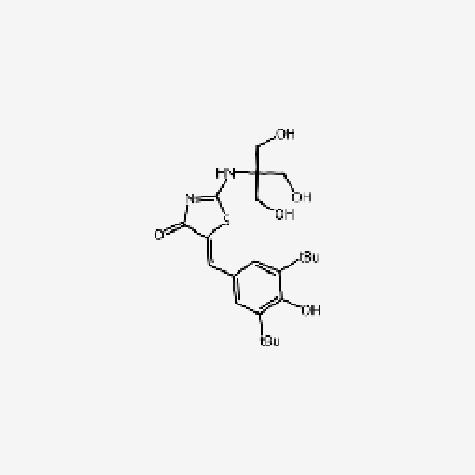 CC(C)(C)c1cc(/C=C2\SC(NC(CO)(CO)CO)=NC2=O)cc(C(C)(C)C)c1O